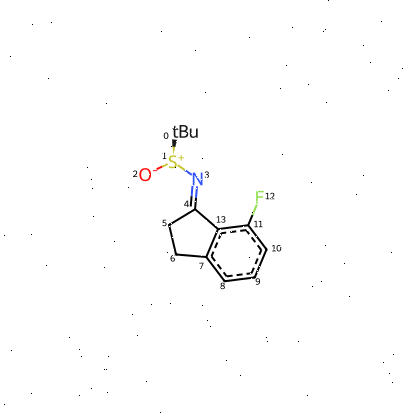 CC(C)(C)[S@+]([O-])N=C1CCc2cccc(F)c21